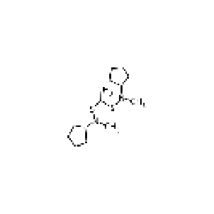 CC(SN(C)C1CCCC1)SN(C)C1CCCC1